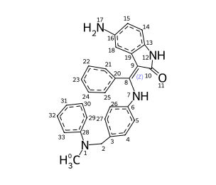 CN(Cc1ccc(N/C(=C2\C(=O)Nc3ccc(N)cc32)c2ccccc2)cc1)c1ccccc1